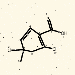 CC1(Cl)C=CC(C(O)=S)=C(Cl)C1